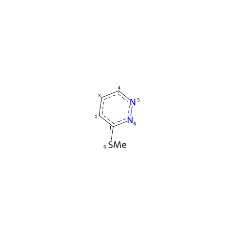 CSc1cc[c]nn1